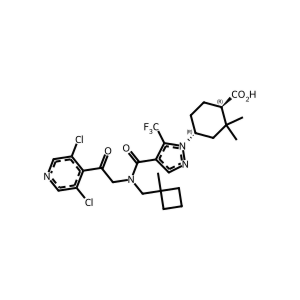 CC1(CN(CC(=O)c2c(Cl)cncc2Cl)C(=O)c2cnn([C@@H]3CC[C@@H](C(=O)O)C(C)(C)C3)c2C(F)(F)F)CCC1